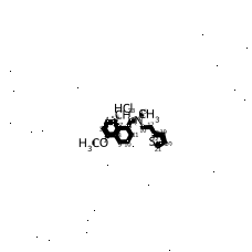 COc1ccc(C)c2c1CCCC2CN(C)CCc1cccs1.Cl